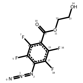 [N-]=[N+]=Nc1c(F)c(F)c(C(=O)OCCO)c(F)c1F